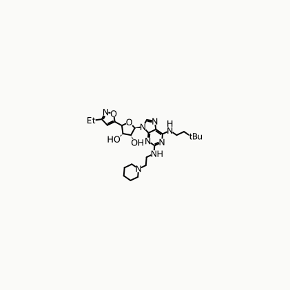 CCc1cc(C2O[C@@H](n3cnc4c(NCCC(C)(C)C)nc(NCCN5CCCCC5)nc43)[C@H](O)[C@@H]2O)on1